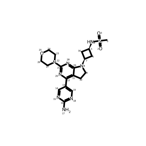 CS(=O)(=O)N[C@H]1C[C@@H](N2CCc3c(-c4cnc(N)nc4)nc(N4CCOCC4)nc32)C1